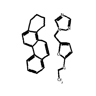 FC(F)(F)COc1ccc(Cn2cncn2)o1.c1ccc2c(c1)ccc1c3c(ccc12)CCCC3